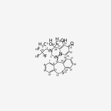 C[C@H](N1CN([C@@H]2c3ccccc3CSc3ccccc32)n2ccc(=O)c(O)c2C1(C)O)C(F)(F)F